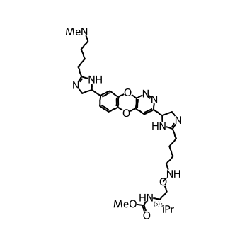 CNCCCCC1=NCC(c2ccc3c(c2)Oc2nnc(C4CN=C(CCCCNOC[C@@H](NC(=O)OC)C(C)C)N4)cc2O3)N1